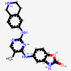 Cc1cnc(Nc2ccc3c(c2)CCNC3)nc1Nc1ccc2oc(=O)[nH]c2c1